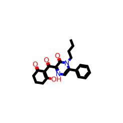 CCCCn1c(-c2ccccc2)cnc(C(=O)C2=C(O)CCCC2=O)c1=O